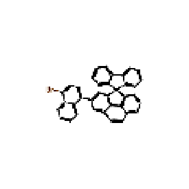 Brc1ccc(-c2cc3c4c(ccc5cccc(c54)C34c3ccccc3-c3ccccc34)c2)c2ccccc12